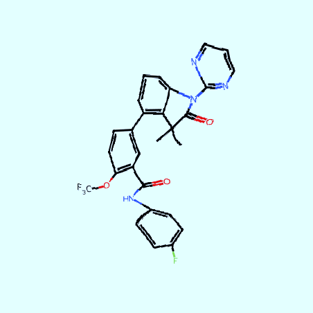 CC1(C)C(=O)N(c2ncccn2)c2cccc(-c3ccc(OC(F)(F)F)c(C(=O)Nc4ccc(F)cc4)c3)c21